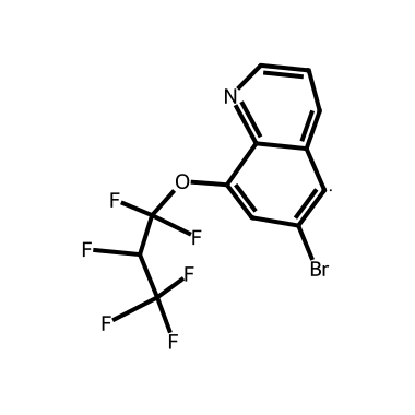 FC(C(F)(F)F)C(F)(F)Oc1cc(Br)[c]c2cccnc12